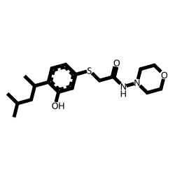 CC(C)CC(C)c1ccc(SCC(=O)NN2CCOCC2)cc1O